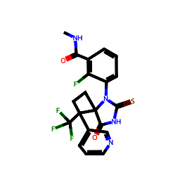 CNC(=O)c1cccc(N2C(=S)NC(=O)C23CCC3(c2cccnc2)C(F)(F)F)c1F